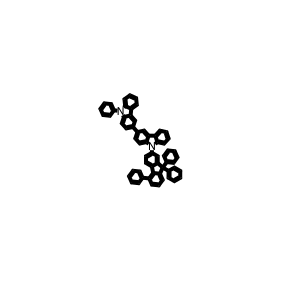 c1ccc(-c2cccc3c2-c2ccc(-n4c5ccccc5c5cc(-c6ccc7c(c6)c6ccccc6n7-c6ccccc6)ccc54)cc2C3(c2ccccc2)c2ccccc2)cc1